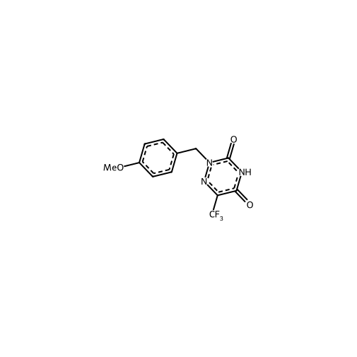 COc1ccc(Cn2nc(C(F)(F)F)c(=O)[nH]c2=O)cc1